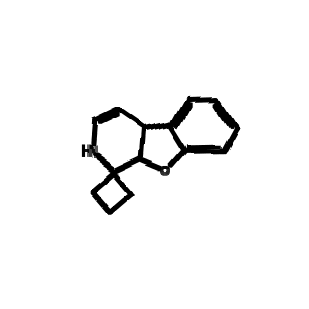 C1=CC2c3ccccc3OC2C2(CCC2)N1